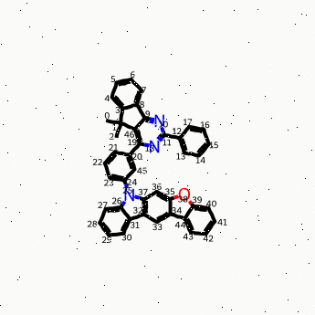 CC1(C)c2ccccc2-c2nc(-c3ccccc3)nc(-c3cccc(-n4c5ccccc5c5cc6c(cc54)oc4ccccc46)c3)c21